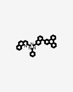 c1ccc(-c2nc(-c3ccc4c(-c5ccc6c7ccccc7c7ccccc7c6c5)cccc4c3)nc(-c3ccc4ccc5ccccc5c4n3)n2)cc1